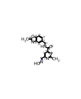 Cc1nc(/C=N/O)cc(C(=O)NCc2ccc3oc(C)nc3c2)n1